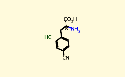 Cl.N#Cc1ccc(C[C@@H](N)C(=O)O)cc1